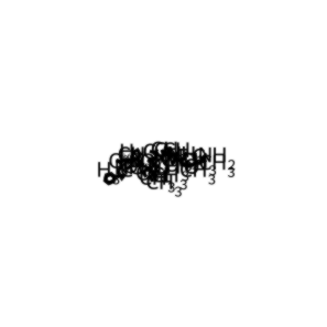 CC[C@H](C)[C@@H]([C@@H](CC(=O)N1CCC[C@H]1[C@H](OC)[C@@H](C)C(=O)NCC1(c2ccccc2)CC1)OC)N(C)C(=O)[C@@H](NC(=O)C(C)(C)NC(=O)CCC(C)(C)OCCC(C)(C)N)C(C)C